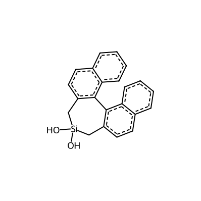 O[Si]1(O)Cc2ccc3ccccc3c2-c2c(ccc3ccccc23)C1